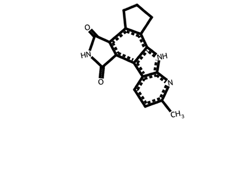 Cc1ccc2c(n1)[nH]c1c3c(c4c(c12)C(=O)NC4=O)CCC3